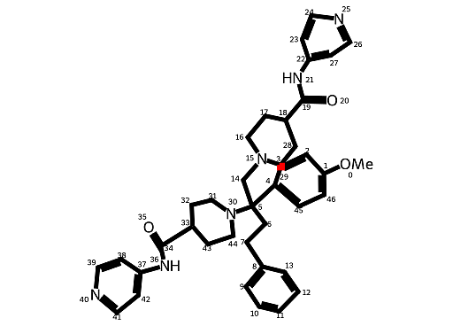 COc1ccc(C(CCc2ccccc2)(CN2CCC(C(=O)Nc3ccncc3)CC2)N2CCC(C(=O)Nc3ccncc3)CC2)cc1